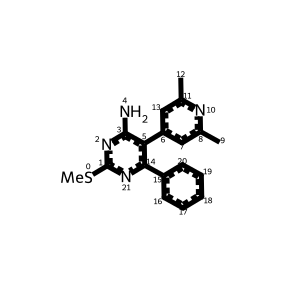 CSc1nc(N)c(-c2cc(C)nc(C)c2)c(-c2ccccc2)n1